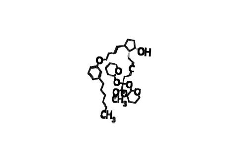 CCCCCCc1cccc(OCC/C=C/[C@H]2CC[C@H](O)[C@@H]2CC=C=CCC(OC2CCCCO2)(OC2CCCCO2)C(=O)OC)c1